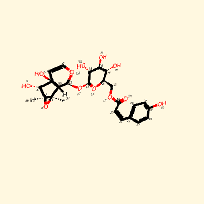 C[C@]12O[C@H]1[C@H](O)[C@]1(O)C=CO[C@@H](O[C@@H]3O[C@H](COC(=O)/C=C\c4ccc(O)cc4)[C@@H](O)[C@H](O)[C@H]3O)[C@@H]12